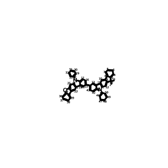 CC1(C)c2ccccc2-c2cc3c4cc(-c5ccc6c(c5)c5cc7c(cc5n6-c5ccccc5)oc5ccccc57)ccc4n(-c4ccccc4)c3cc21